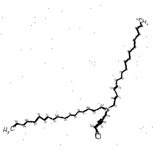 CCCCCCCCCCCCCCCCCCN(CC#CCCl)CCCCCCCCCCCCCCCCCC